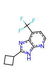 FC(F)(F)c1ccnc2[nH]c(C3CCC3)nc12